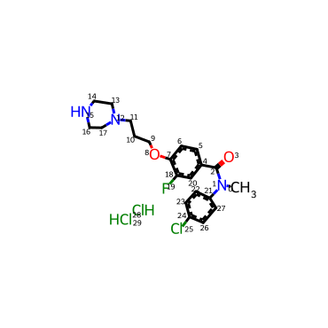 CN(C(=O)c1ccc(OCCCN2CCNCC2)c(F)c1)c1ccc(Cl)cc1.Cl.Cl